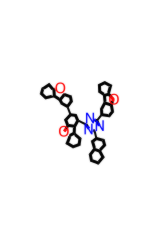 c1ccc2cc(-c3nc(-c4ccc5oc6ccccc6c5c4)nc(-c4cc(-c5ccc6oc7ccccc7c6c5)cc5oc6ccccc6c45)n3)ccc2c1